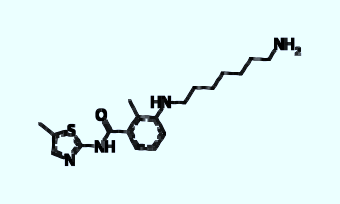 Cc1cnc(NC(=O)c2cccc(NCCCCCCCN)c2C)s1